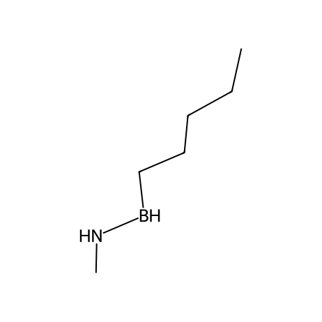 CCCCCBNC